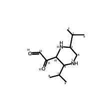 CC(C)C1CNC(C(C)C)C(C(=O)C=O)N1